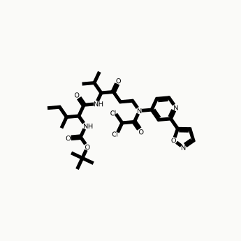 CCC(C)C(NC(=O)OC(C)(C)C)C(=O)NC(C(=O)CCN(C(=O)C(Cl)Cl)c1ccnc(-c2ccno2)c1)C(C)C